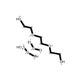 CCC(C)OS(=O)(=O)O.CCOCC.OCCOCCOCCO